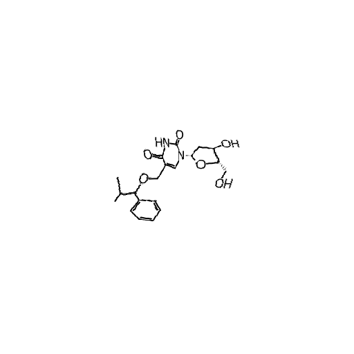 CC(C)C(OCc1cn([C@@H]2CC(O)[C@H](CO)O2)c(=O)[nH]c1=O)c1ccccc1